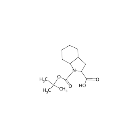 CC(C)(C)OC(=O)N1C(C(=O)O)CC2CCCCC21